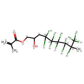 C=C(C)C(=O)OCC(O)CC(F)(F)C(F)(F)C(F)(F)C(F)(F)C(C)(F)C(F)(F)F